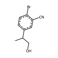 [CH2]C(CO)c1ccc(Br)c(C#N)c1